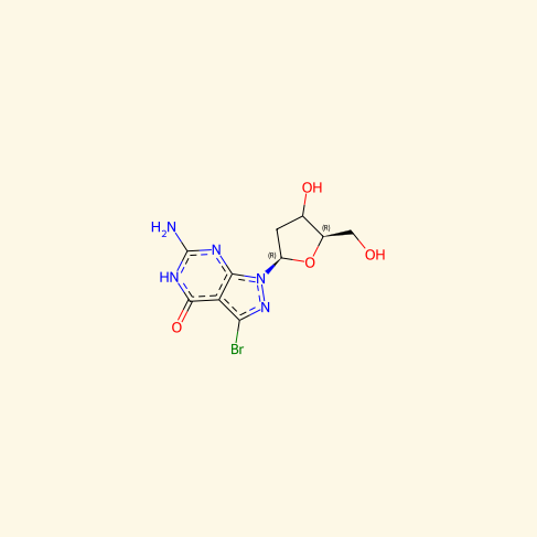 Nc1nc2c(c(Br)nn2[C@H]2CC(O)[C@@H](CO)O2)c(=O)[nH]1